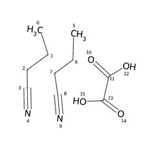 CCCC#N.CCCC#N.O=C(O)C(=O)O